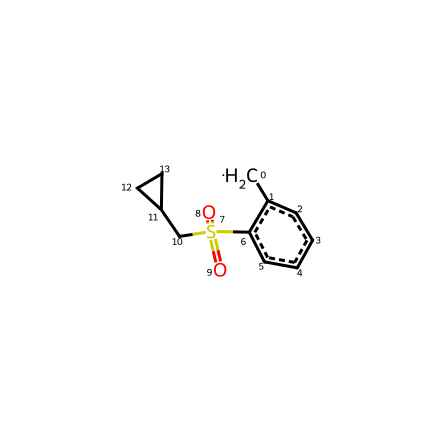 [CH2]c1ccccc1S(=O)(=O)CC1CC1